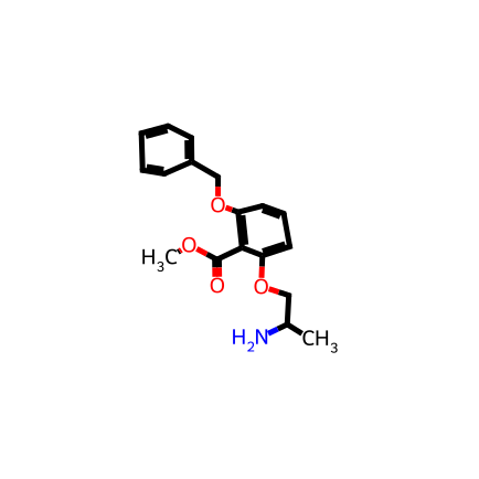 COC(=O)c1c(OCc2ccccc2)cccc1OCC(C)N